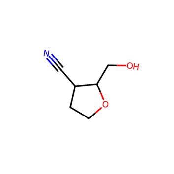 N#CC1CCOC1CO